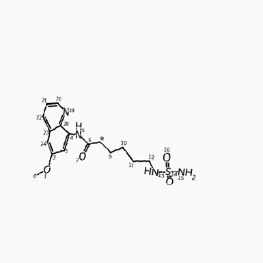 COc1cc(NC(=O)CCCCCNS(N)(=O)=O)c2ncccc2c1